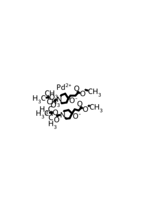 CCOC(=O)CCC1([O-])CCN(C(=O)OC(C)(C)C)CC1.CCOC(=O)CCC1([O-])CCN(C(=O)OC(C)(C)C)CC1.[Pd+2]